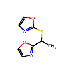 CC(Sc1ncco1)c1ncco1